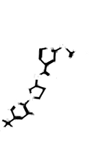 CC(=O)Nc1cc(C(=O)NC2CCN(c3ncc(C(F)(F)F)cc3Cl)C2)ccn1